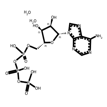 Nc1ncnc2c1ncn2[C@@H]1O[C@H](COP(=O)(O)OP(=O)(O)OP(=O)(O)O)[C@@H](O)[C@H]1O.O.O